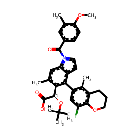 COc1ccc(C(=O)n2ccc3c(-c4cc(F)c5c(c4C)CCCO5)c([C@H](OC(C)(C)C)C(=O)O)c(C)cc32)cc1C